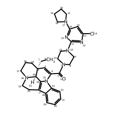 CC[C@@]12C=C(C(=O)N3CCN(c4nc(Cl)cc(N5CCCC5)n4)CC3)n3c4c(c5ccccc53)CCN(CCC1)[C@H]42